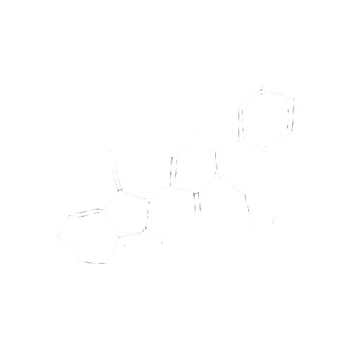 O=C(O)CN1C(=O)C(N2C(=O)C3=CC=CCC3C2=O)=CSC1c1ccccc1